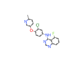 Cc1ccc(Oc2ccc(Nc3ncnc4cccc(F)c34)cc2Cl)cn1